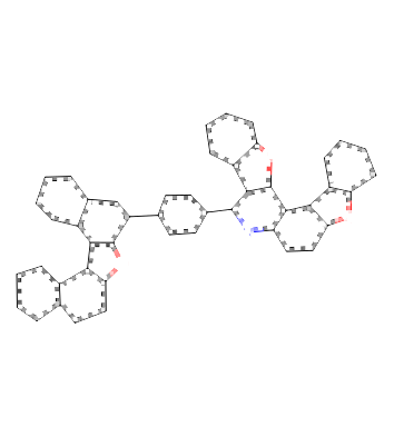 c1ccc2c(c1)ccc1oc3c(-c4ccc(-c5nc6ccc7oc8ccccc8c7c6c6oc7ccccc7c56)cc4)cc4ccccc4c3c12